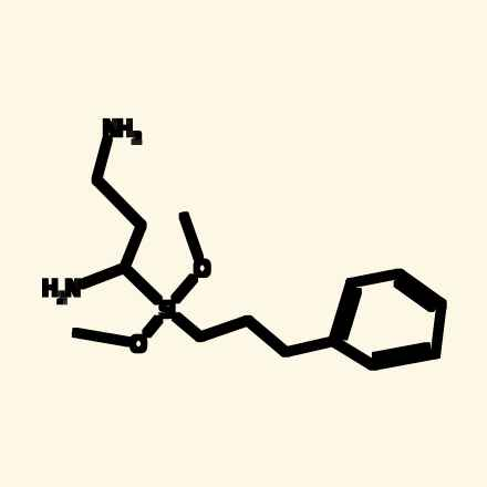 CO[Si](CCCc1ccccc1)(OC)C(N)CCN